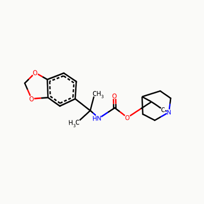 CC(C)(NC(=O)OC1CN2CCC1CC2)c1ccc2c(c1)OCO2